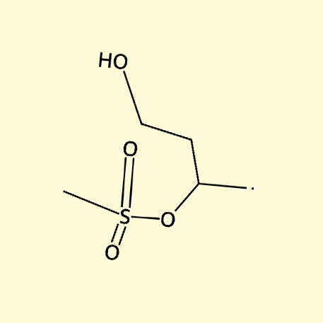 [CH2]C(CCO)OS(C)(=O)=O